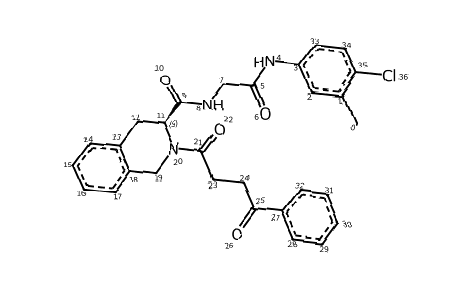 Cc1cc(NC(=O)CNC(=O)[C@@H]2Cc3ccccc3CN2C(=O)CCC(=O)c2ccccc2)ccc1Cl